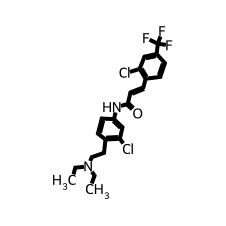 CCN(CC)CCc1ccc(NC(=O)C=Cc2ccc(C(F)(F)F)cc2Cl)cc1Cl